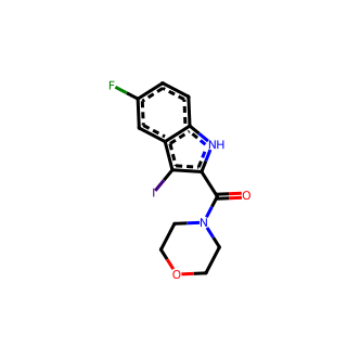 O=C(c1[nH]c2ccc(F)cc2c1I)N1CCOCC1